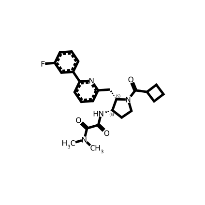 CN(C)C(=O)C(=O)N[C@H]1CCN(C(=O)C2CCC2)[C@H]1Cc1cccc(-c2cccc(F)c2)n1